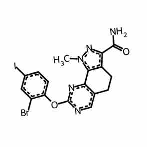 Cn1nc(C(N)=O)c2c1-c1nc(Oc3ccc(I)cc3Br)ncc1CC2